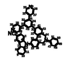 N#Cc1ccc2c(c1)c1ccccc1n2-c1ccc2c(c1)-c1cc(-c3cc(-c4ccncc4)cc(-c4ccncc4)c3)ccc1CN(c1ccccc1)C2